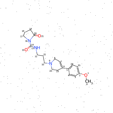 COc1ccc(C2=CCN(CCCNC(=O)N3CCCC3=O)CC2)cc1